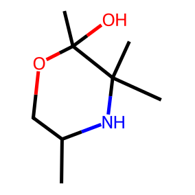 CC1COC(C)(O)C(C)(C)N1